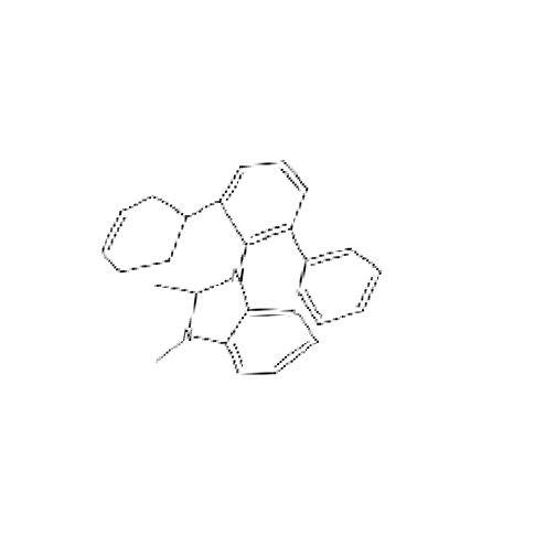 CC1N(C)c2ccccc2N1c1c(-c2ccccc2)cccc1C1CC=CCC1